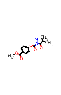 C=C(C)C(=O)NC(=O)Oc1ccc(C(=O)OC)cc1